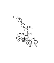 COc1cc(N2CCC(N3CCN(C)CC3)CC2)c(C)cc1Nc1ncc(Br)c(Nc2cnc3ccccc3c2P(C)(C)=O)n1.O=C(O)C(F)(F)F